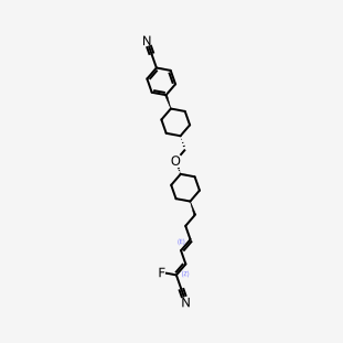 N#C/C(F)=C/C=C/CC[C@H]1CC[C@H](OC[C@H]2CC[C@H](c3ccc(C#N)cc3)CC2)CC1